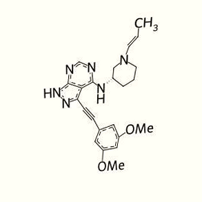 CC=CN1CCC[C@H](Nc2ncnc3[nH]nc(C#Cc4cc(OC)cc(OC)c4)c23)C1